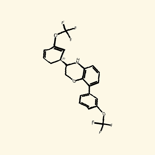 FC(F)(F)OC1=C[C@@H](C2COc3c(cccc3-c3cccc(OC(F)(F)F)c3)N2)CC=C1